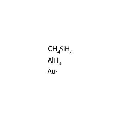 C.[AlH3].[Au].[SiH4]